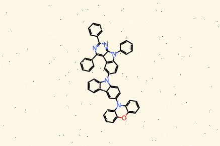 c1ccc(-c2nc(-c3ccccc3)c3c4cc(-n5c6ccccc6c6cc(N7c8ccccc8Oc8ccccc87)ccc65)ccc4n(-c4ccccc4)c3n2)cc1